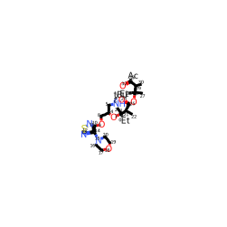 CCC(C)(OC(CNC(C)(C)C)COc1nsnc1N1CCOCC1)C(C)C(=O)OC(C)(CC)C(C)C(=O)C(C)=O